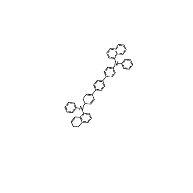 C1=Cc2c(cccc2N(c2ccccc2)C2C=CC(c3ccc(-c4ccc(N(c5ccccc5)c5cccc6ccccc56)cc4)cc3)=CC2)CC1